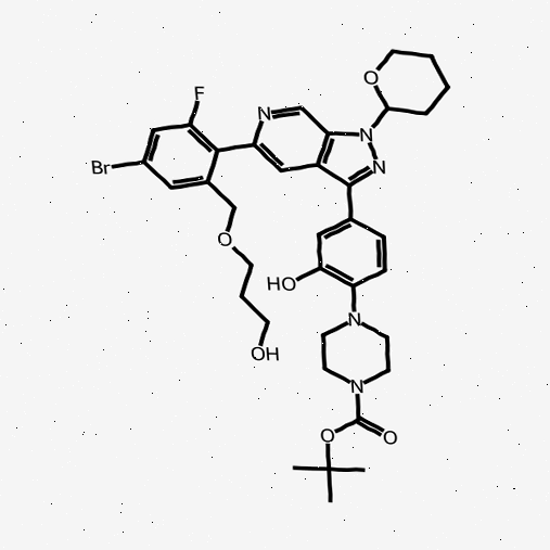 CC(C)(C)OC(=O)N1CCN(c2ccc(-c3nn(C4CCCCO4)c4cnc(-c5c(F)cc(Br)cc5COCCCO)cc34)cc2O)CC1